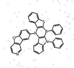 c1ccc(B2c3sc4ccccc4c3N(c3ccc4oc5ccncc5c4c3)c3c2n(-c2ccccc2)c2ccccc32)cc1